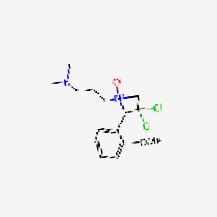 COc1ccccc1C1C(Cl)(Cl)C[N+]1([O-])CCCN(C)C